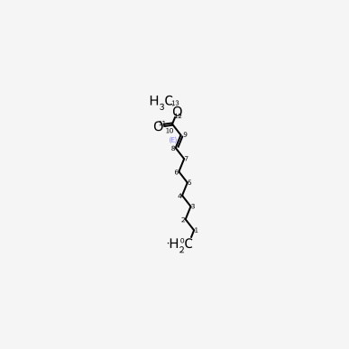 [CH2]CCCCCCC/C=C/C(=O)OC